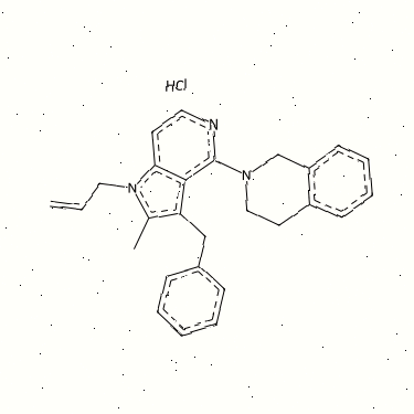 C=CCn1c(C)c(Cc2ccccc2)c2c(N3CCc4ccccc4C3)nccc21.Cl